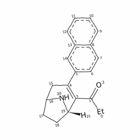 CCC(=O)C1=C(c2ccc3ccccc3c2)CC2CC[C@@H]1N2